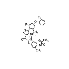 Cc1cc2cc(C(=O)c3cnn(-c4c(C)cc(Oc5ccccc5Cl)cc4F)c3N)[nH]c2cc1NS(C)(=O)=O